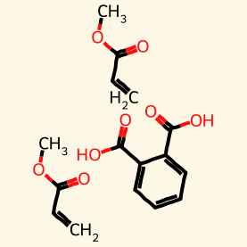 C=CC(=O)OC.C=CC(=O)OC.O=C(O)c1ccccc1C(=O)O